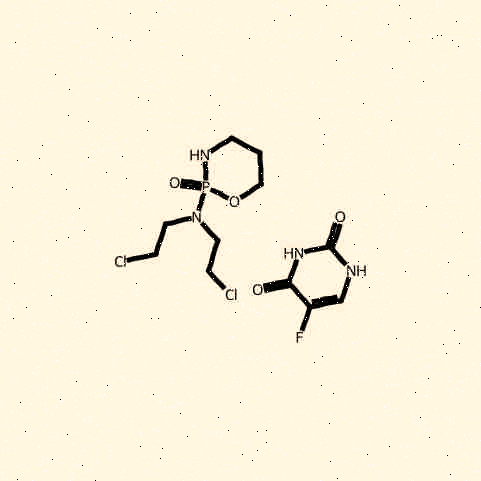 O=P1(N(CCCl)CCCl)NCCCO1.O=c1[nH]cc(F)c(=O)[nH]1